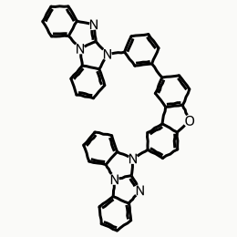 c1cc(-c2ccc3oc4ccc(-n5c6ccccc6n6c7ccccc7nc56)cc4c3c2)cc(-n2c3ccccc3n3c4ccccc4nc23)c1